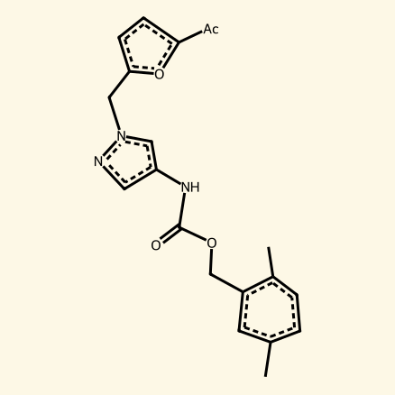 CC(=O)c1ccc(Cn2cc(NC(=O)OCc3cc(C)ccc3C)cn2)o1